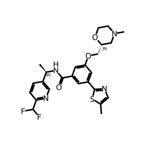 Cc1cnc(-c2cc(OC[C@H]3CN(C)CCO3)cc(C(=O)N[C@H](C)c3ccc(C(F)F)nc3)c2)s1